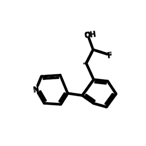 OC(F)[CH]c1ccccc1-c1ccncc1